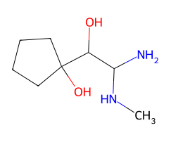 CNC(N)C(O)C1(O)CCCC1